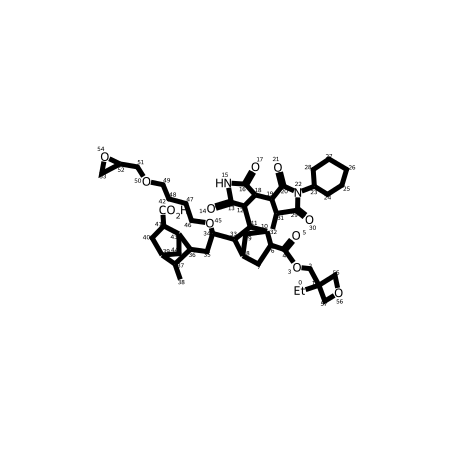 CCC1(COC(=O)C2CC3CC2C(C2C(=O)NC(=O)C2C2C(=O)N(C4CCCCC4)C(=O)C2C)C3C(CC2C(C)C3CC(C(=O)O)C2C3)OCCCCOCC2CO2)COC1